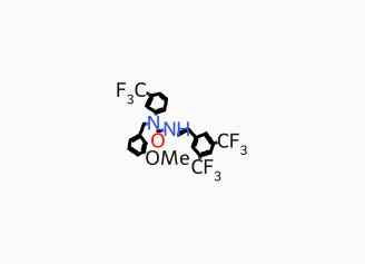 COc1cccc(CN(C(=O)N/C=C/c2cc(C(F)(F)F)cc(C(F)(F)F)c2)c2cccc(C(F)(F)F)c2)c1